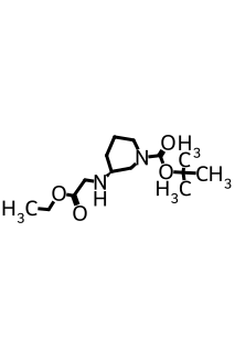 CCOC(=O)CN[C@H]1CCCN(C(=O)OC(C)(C)C)C1